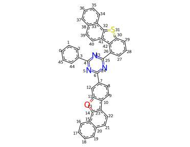 c1ccc(-c2nc(-c3ccc4c(c3)oc3c5ccccc5ccc43)nc(-c3cccc4sc5c6ccccc6ccc5c34)n2)cc1